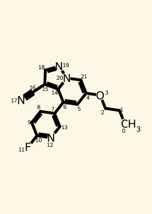 CCCOc1cc(-c2ccc(F)nc2)c2c(C#N)cnn2c1